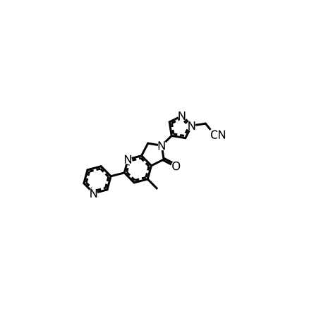 Cc1cc(-c2cccnc2)nc2c1C(=O)N(c1cnn(CC#N)c1)C2